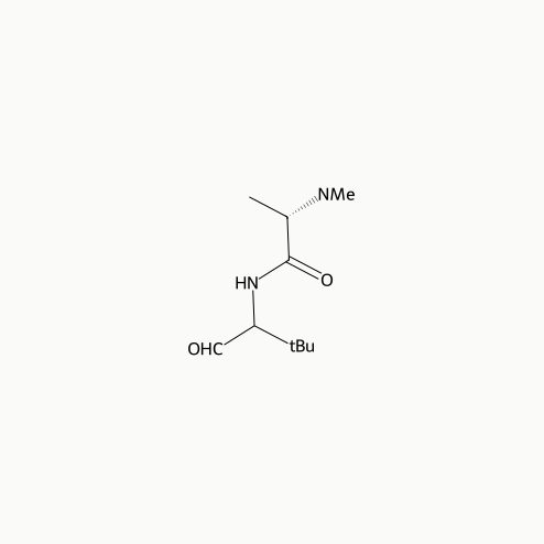 CN[C@@H](C)C(=O)NC(C=O)C(C)(C)C